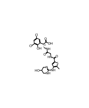 Cc1sc(C(=O)NCC(=O)NC[C@@H](C(=O)O)c2cc(Cl)cc(Cl)c2O)cc1NC1=NCC(O)CN1